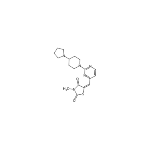 CN1C(=O)SC(=Cc2ccnc(N3CCC(N4CCCC4)CC3)n2)C1=O